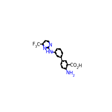 Nc1ccc(-c2cccc(Nc3nccc(C(F)(F)F)n3)c2)cc1C(=O)O